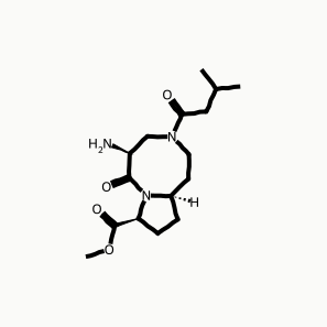 COC(=O)[C@@H]1CC[C@@H]2CCN(C(=O)CC(C)C)C[C@H](N)C(=O)N21